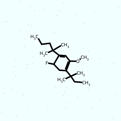 CCCC(C)(C)C1=CC(OC)=C(C(C)(C)CC)CC1F